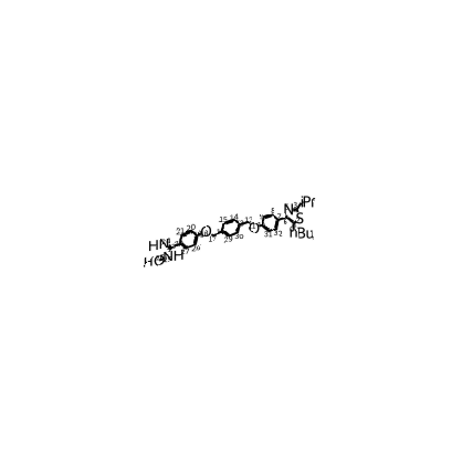 CCCCc1sc(C(C)C)nc1-c1ccc(OCc2ccc(COc3ccc(C(=N)NO)cc3)cc2)cc1